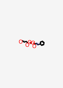 O=[C]CCC(=O)OCOC(=O)/C=C/c1ccccc1